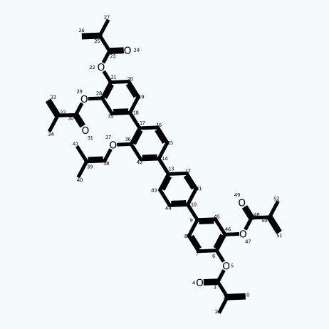 C=C(C)C(=O)Oc1ccc(-c2ccc(-c3ccc(-c4ccc(OC(=O)C(=C)C)c(OC(=O)C(=C)C)c4)c(OC=C(C)C)c3)cc2)cc1OC(=O)C(=C)C